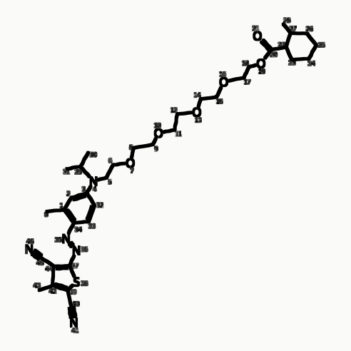 Cc1cc(N(CCOCCOCCOCCOCCOC(=O)C2CCCCC2C)C(C)C)ccc1/N=N/c1sc(C#N)c(C)c1C#N